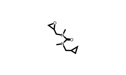 CN(CC1CC1)C(=O)N(C)CC1CO1